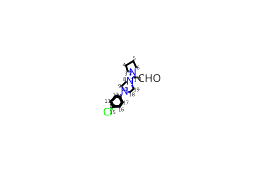 O=CC(N1CCCC1)N1CCN(c2ccc(Cl)cc2)CC1